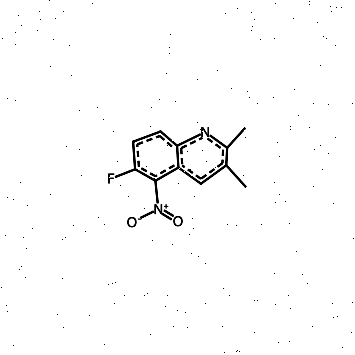 Cc1cc2c([N+](=O)[O-])c(F)ccc2nc1C